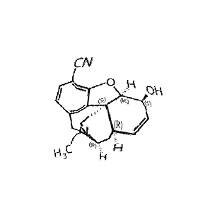 CN1CC[C@]23c4c5ccc(C#N)c4O[C@H]2[C@@H](O)C=C[C@H]3[C@H]1C5